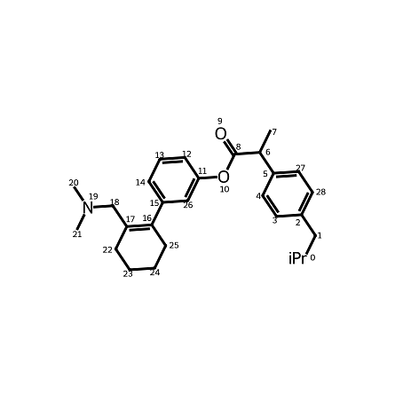 CC(C)Cc1ccc(C(C)C(=O)Oc2cccc(C3=C(CN(C)C)CCCC3)c2)cc1